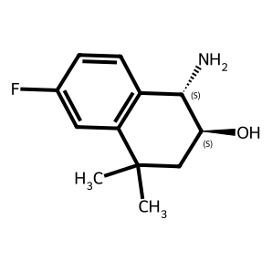 CC1(C)C[C@H](O)[C@@H](N)c2ccc(F)cc21